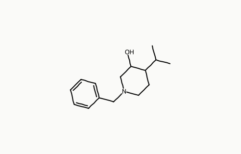 CC(C)C1CCN(Cc2ccccc2)CC1O